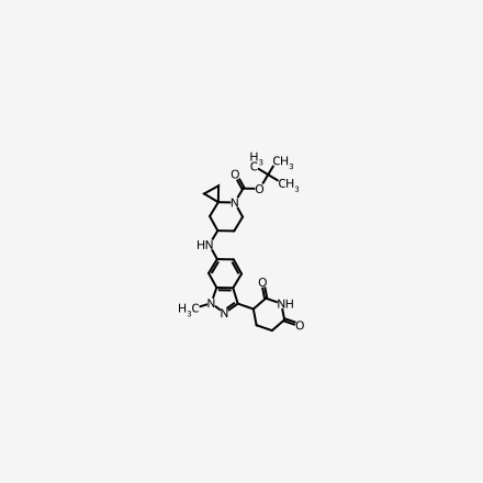 Cn1nc(C2CCC(=O)NC2=O)c2ccc(NC3CCN(C(=O)OC(C)(C)C)C4(CC4)C3)cc21